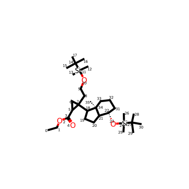 CCOC(=O)C1CC1(CCO[Si](C)(C)C(C)(C)C)C1CCC2[C@@H](O[Si](C)(C)C(C)(C)C)CCC[C@@]21C